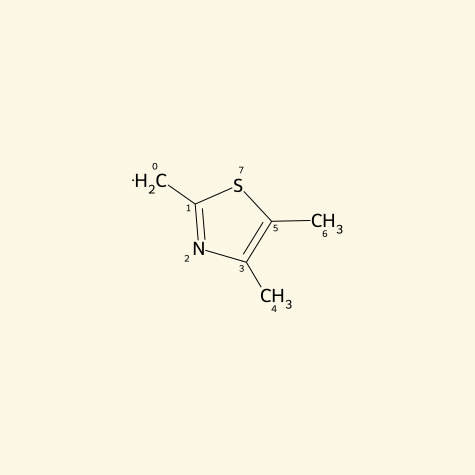 [CH2]c1nc(C)c(C)s1